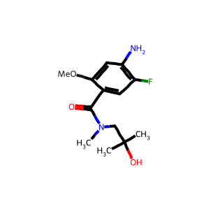 COc1cc(N)c(F)cc1C(=O)N(C)CC(C)(C)O